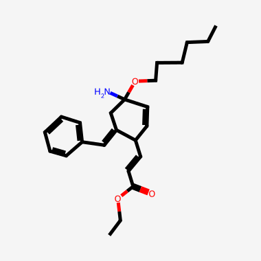 CCCCCCOC1(N)C=CC(C=CC(=O)OCC)C(=Cc2ccccc2)C1